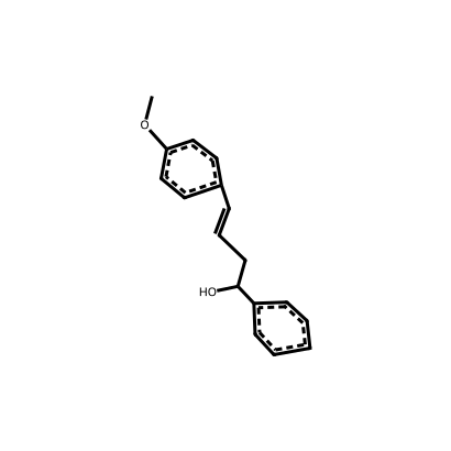 COc1ccc(C=CCC(O)c2ccccc2)cc1